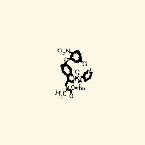 CN(Cc1cn(S(=O)(=O)c2cccnc2)c2cc(Oc3cc(Cl)ccc3[N+](=O)[O-])ccc12)C(=O)OC(C)(C)C